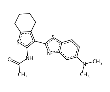 CC(=O)Nc1sc2c(c1-c1nc3cc(N(C)C)ccc3s1)CCCC2